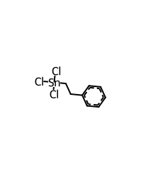 [Cl][Sn]([Cl])([Cl])[CH2]Cc1ccccc1